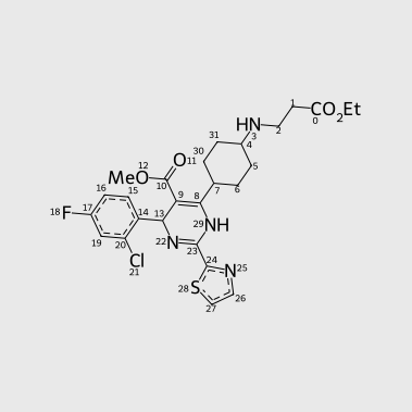 CCOC(=O)CCNC1CCC(C2=C(C(=O)OC)C(c3ccc(F)cc3Cl)N=C(c3nccs3)N2)CC1